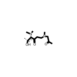 CC(=O)CN(C)CCC(=O)[C@H]([C@@H](C)O)N(C)C